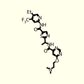 CCc1cnc(NC(=O)c2cnc(C(C)NC(=O)c3cc(OCCN(C)C)ncn3)s2)cc1C(F)(F)F